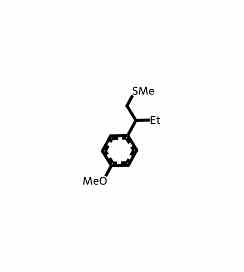 CCC(CSC)c1ccc(OC)cc1